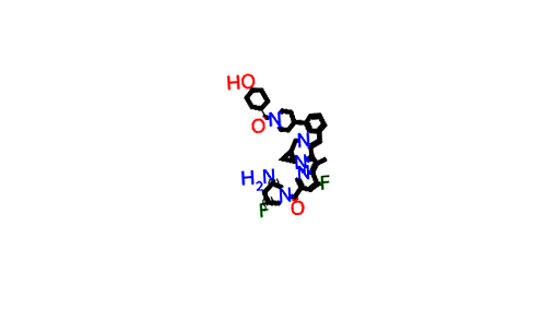 Cc1c(-c2cc3cccc(C4CCN(C(=O)[C@H]5CC[C@@H](O)CC5)CC4)c3n2CC2CC2)nn2cc(C(=O)N3C[C@H](N)C[C@@H](F)C3)cc(F)c12